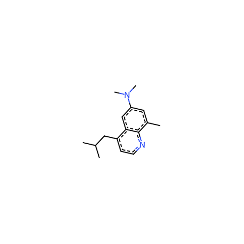 Cc1cc(N(C)C)cc2c(CC(C)C)ccnc12